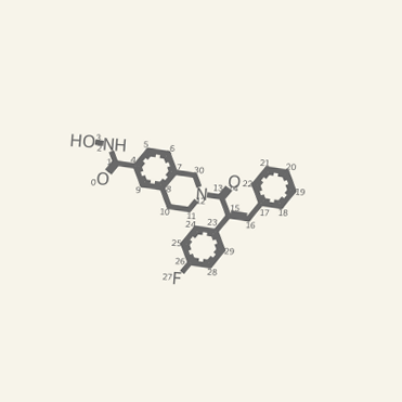 O=C(NO)c1ccc2c(c1)CCN(C(=O)/C(=C\c1ccccc1)c1ccc(F)cc1)C2